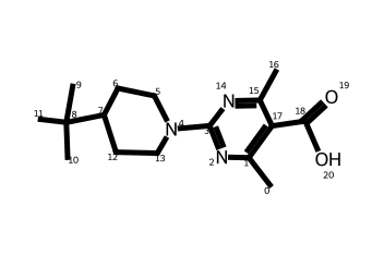 Cc1nc(N2CCC(C(C)(C)C)CC2)nc(C)c1C(=O)O